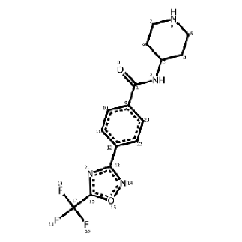 O=C(NC1CCNCC1)c1ccc(-c2noc(C(F)(F)F)n2)cc1